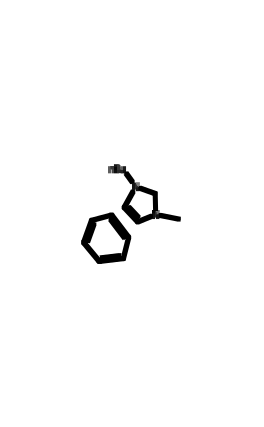 CCCCN1C=CN(C)C1.c1ccccc1